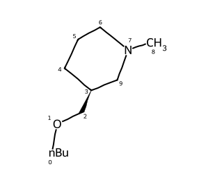 CCCCOC[C@H]1CCCN(C)C1